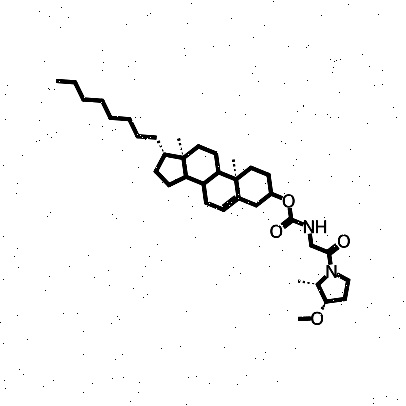 CCCCCCCC[C@H]1CCC2C3CC=C4CC(OC(=O)NCC(=O)N5CC[C@H](OC)[C@@H]5C)CC[C@]4(C)C3CC[C@@]21C